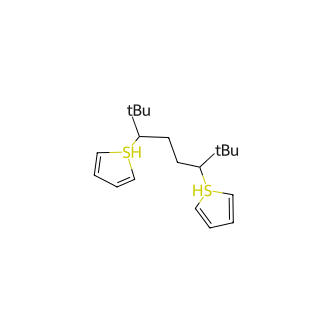 CC(C)(C)C(CCC([SH]1C=CC=C1)C(C)(C)C)[SH]1C=CC=C1